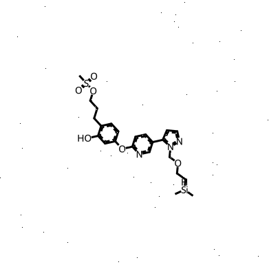 C[SiH](C)CCOCn1nccc1-c1ccc(Oc2ccc(CCCOS(C)(=O)=O)c(O)c2)nc1